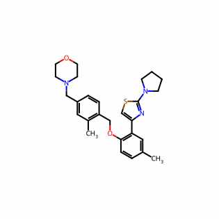 Cc1ccc(OCc2ccc(CN3CCOCC3)cc2C)c(-c2csc(N3CCCC3)n2)c1